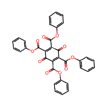 O=C(Oc1ccccc1)C1=C(C(=O)Oc2ccccc2)C(=O)C(C(=O)Oc2ccccc2)=C(C(=O)Oc2ccccc2)C1=O